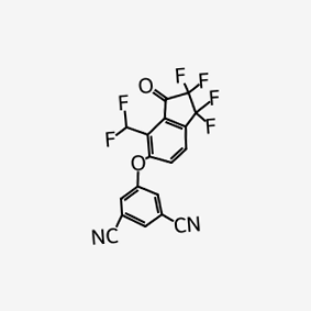 N#Cc1cc(C#N)cc(Oc2ccc3c(c2C(F)F)C(=O)C(F)(F)C3(F)F)c1